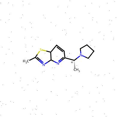 CC1=NC2N=C([C@@H](C)N3CCCC3)C=CC2S1